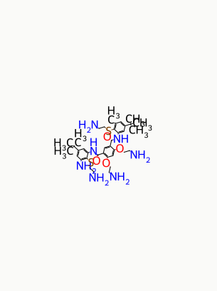 Cc1cc(C(C)(C)C)cc(NC(=O)c2cc(C(=O)Nc3cc(C(C)(C)C)cc(N)c3SCCN)c(OCCN)cc2OCCN)c1SCCN